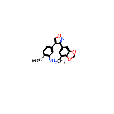 COc1ccc(-c2conc2-c2cc(C)c3c(c2)OCO3)cc1N